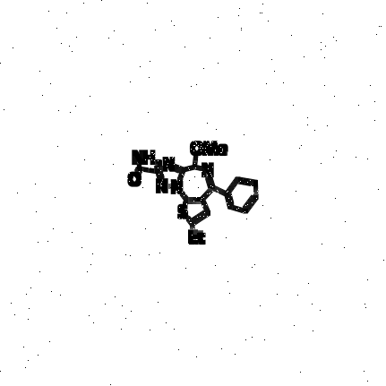 CCc1cc2c(s1)-n1nc(C(N)=O)nc1C(OC)N=C2c1ccccc1